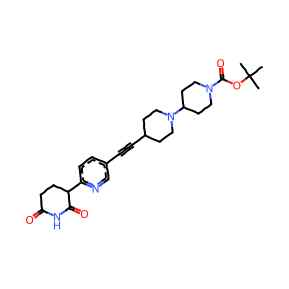 CC(C)(C)OC(=O)N1CCC(N2CCC(C#Cc3ccc(C4CCC(=O)NC4=O)nc3)CC2)CC1